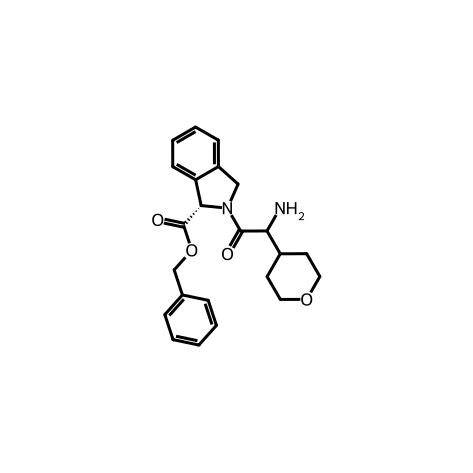 NC(C(=O)N1Cc2ccccc2[C@H]1C(=O)OCc1ccccc1)C1CCOCC1